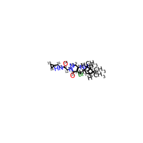 C[C@@H]1[C@H]2C[C@@H](C[C@H]1Nc1cnn(CC(=O)NCC3CC3)c(=O)c1Br)C2(C)C